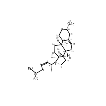 CCN(CC)C/C=C\[C@@H](C)[C@H]1CC[C@H]2[C@@H]3CC=C4C[C@@H](OC(C)=O)CC[C@]4(C)[C@H]3CC[C@]12C